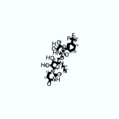 C[C@H](NP(=O)(OC[C@@]1(N=[N+]=[N-])O[C@@H](n2ccc(=O)[nH]c2=O)[C@H](O)[C@@H]1O)Oc1cccc(C(F)(F)F)c1)C(=O)O